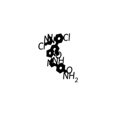 NC(=O)c1ccc(-c2cnc([C@@H]3CCc4cc(-c5cc(Cl)ccc5-n5cc(Cl)nn5)cc(=O)n43)[nH]2)cc1